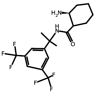 CC(C)(NC(=O)C1CCCC[C@@H]1N)c1cc(C(F)(F)F)cc(C(F)(F)F)c1